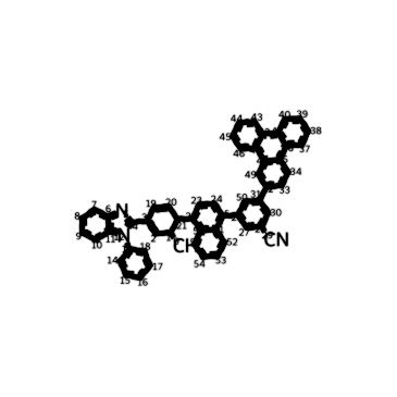 CC1C=C(c2nc3ccccc3n2-c2ccccc2)C=CC1c1ccc(-c2cc(C#N)cc(-c3ccc4c5ccccc5c5ccccc5c4c3)c2)c2ccccc12